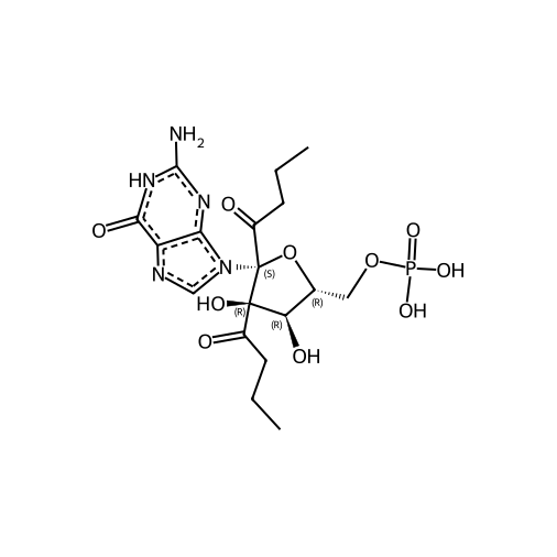 CCCC(=O)[C@@]1(O)[C@H](O)[C@@H](COP(=O)(O)O)O[C@@]1(C(=O)CCC)n1cnc2c(=O)[nH]c(N)nc21